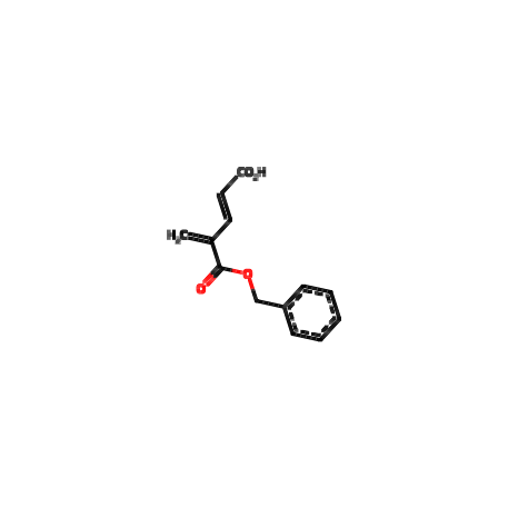 C=C(C=CC(=O)O)C(=O)OCc1ccccc1